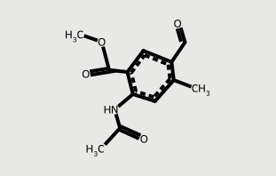 COC(=O)c1cc(C=O)c(C)cc1NC(C)=O